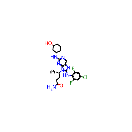 CCC[C@H](CCC(N)=O)n1c(Nc2c(F)cc(Cl)cc2F)nc2cnc(N[C@H]3CCC[C@H](O)C3)nc21